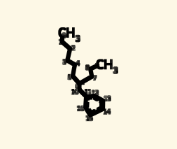 CCCCCC[C](CCC)Cc1ccccc1